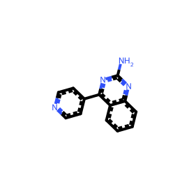 Nc1nc(-c2ccncc2)c2ccccc2n1